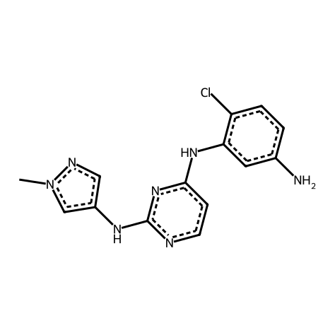 Cn1cc(Nc2nccc(Nc3cc(N)ccc3Cl)n2)cn1